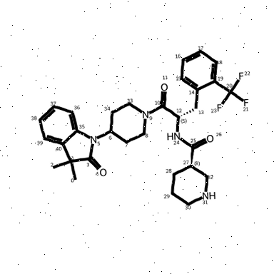 CC1(C)C(=O)N(C2CCN(C(=O)[C@H](Cc3ccccc3C(F)(F)F)NC(=O)[C@@H]3CCCNC3)CC2)c2ccccc21